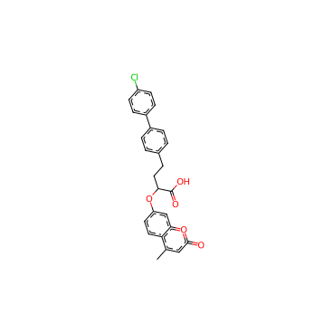 Cc1cc(=O)oc2cc(OC(CCc3ccc(-c4ccc(Cl)cc4)cc3)C(=O)O)ccc12